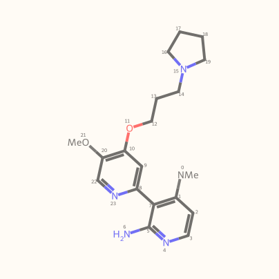 CNc1ccnc(N)c1-c1cc(OCCCN2CCCC2)c(OC)cn1